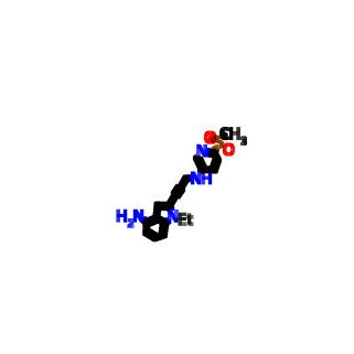 CCn1c(C#CCNc2ccc(S(C)(=O)=O)nc2)cc2c(N)cccc21